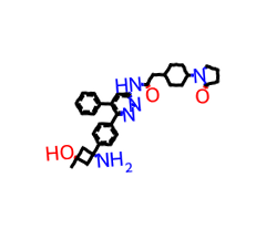 CC1(O)CC(N)(c2ccc(-c3nnc(NC(=O)CC4CCC(N5CCCC5=O)CC4)cc3-c3ccccc3)cc2)C1